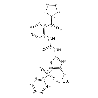 O=C(O)Cc1nc(NC(=O)Nc2cnccc2C(=O)C2CCCC2)sc1S(=O)(=O)c1ccccn1